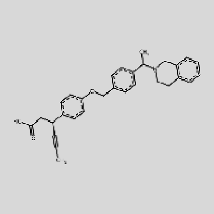 CC#C[C@@H](CC(=O)O)c1ccc(OCc2ccc(C(C)N3CCc4ccccc4C3)cc2)cc1